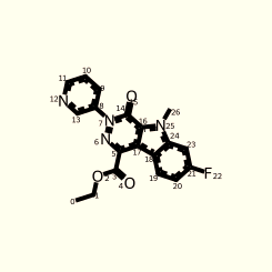 CCOC(=O)c1nn(-c2cccnc2)c(=O)c2c1c1ccc(F)cc1n2C